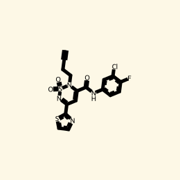 C#CCCN1C(C(=O)Nc2ccc(F)c(Cl)c2)=CC(c2nccs2)=NS1(=O)=O